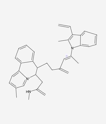 C=Cc1c(C)n(/C(C)=C/C(=C)CCC2c3ccccc3-c3ccc(C)c[n+]3C2CC(=C)NC)c2ccccc12